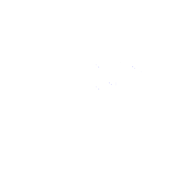 NC(=O)c1nc(-c2cccc(-c3ccccc3-c3ccccc3)c2)n[nH]1